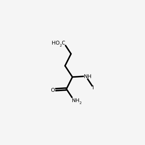 NC(=O)C(CCC(=O)O)NI